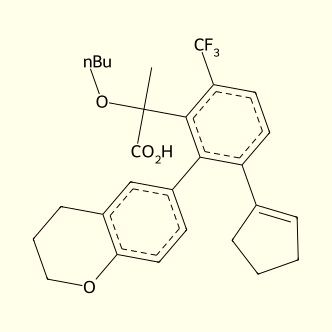 CCCCOC(C)(C(=O)O)c1c(C(F)(F)F)ccc(C2=CCCC2)c1-c1ccc2c(c1)CCCO2